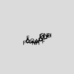 O=C1CCC(c2c(F)cc(N3CC(NC(=O)Cc4cc(F)cc(F)c4)C3)cc2F)C(=O)N1